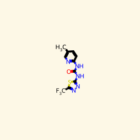 Cc1ccc(NC(=O)Nc2nnc(C(F)(F)F)s2)nc1